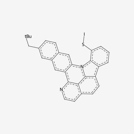 CC(C)(C)Cc1ccc2cc3c(cc2c1)c1nccc2ccc4c5cccc(SI)c5n3c4c21